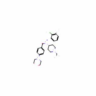 CN(C(=O)c1ccc(N2CCOCC2)cc1)[C@@H]1CCN(CC(F)(F)F)C[C@H]1c1ccc(Cl)c(Cl)c1